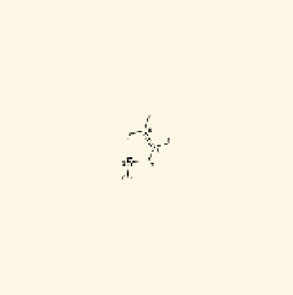 [CH2]SCC(C)=C(C)C